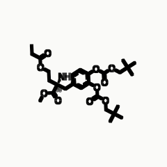 CCC(=O)OCC[C@@](N)(Cc1ccc(OC(=O)OCC(C)(C)C)c(OC(=O)OCC(C)(C)C)c1)C(=O)OC